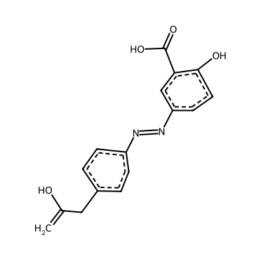 C=C(O)Cc1ccc(/N=N/c2ccc(O)c(C(=O)O)c2)cc1